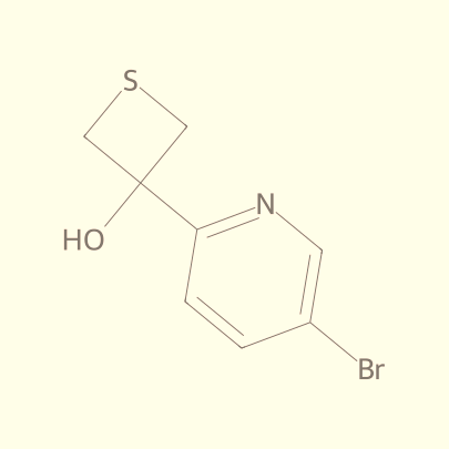 OC1(c2ccc(Br)cn2)CSC1